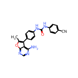 Cc1oc2ncnc(N)c2c1-c1ccc(NC(=O)Nc2ccc(C#N)cc2)cc1